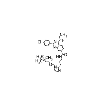 CCC(F)c1nc(-c2ccc(Cl)cc2)nc2cc(C(=O)NCCCc3nccn3COCC[Si](C)(C)C)ccc12